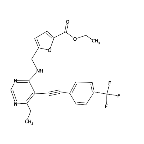 CCOC(=O)c1ccc(CNc2ncnc(CC)c2C#Cc2ccc(C(F)(F)F)cc2)o1